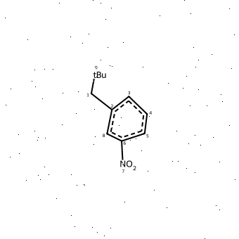 [CH2]C(C)(C)Cc1cccc([N+](=O)[O-])c1